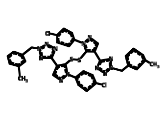 Cc1cccc(Cn2nnc(-c3cnn(-c4ccc(Cl)cc4)c3SSc3c(-c4nnn(Cc5cccc(C)c5)n4)cnn3-c3ccc(Cl)cc3)n2)c1